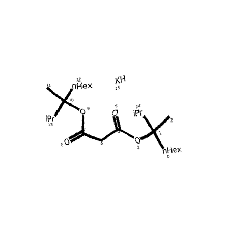 CCCCCCC(C)(OC(=O)CC(=O)OC(C)(CCCCCC)C(C)C)C(C)C.[KH]